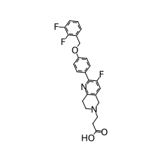 O=C(O)CCN1CCc2nc(-c3ccc(OCc4cccc(F)c4F)cc3)c(F)cc2C1